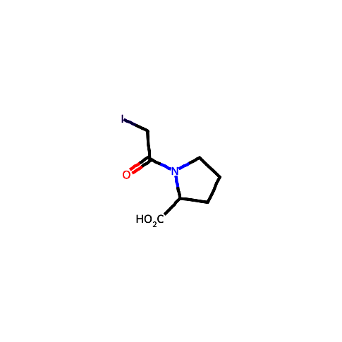 O=C(O)C1CCCN1C(=O)CI